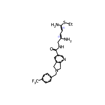 CCS/C(N)=C/C=C(\N)CNC(=O)c1cnc2c(c1)CN(Cc1ccc(C(F)(F)F)cc1)C2